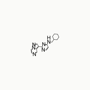 c1cn2ncc(-c3nccc(NCC4CCCCC4)n3)c2cn1